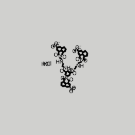 Cl.Cl.O=C(NCCNCCN1C(=O)c2cccc3cc([N+](=O)[O-])cc(c23)C1=O)c1cc(C(=O)NCCNCCN2C(=O)c3cccc4cc([N+](=O)[O-])cc(c34)C2=O)cc(N2C(=O)c3cccc4cc([N+](=O)[O-])cc(c34)C2=O)c1